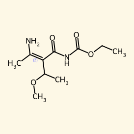 CCOC(=O)NC(=O)/C(=C(/C)N)C(C)OC